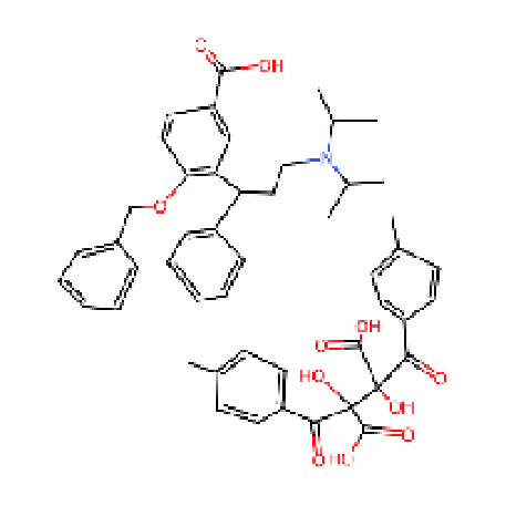 CC(C)N(CCC(c1ccccc1)c1cc(C(=O)O)ccc1OCc1ccccc1)C(C)C.Cc1ccc(C(=O)C(O)(C(=O)O)C(O)(C(=O)O)C(=O)c2ccc(C)cc2)cc1